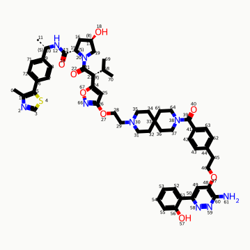 Cc1ncsc1-c1ccc([C@H](C)NC(=O)[C@@H]2C[C@@H](O)CN2C(=O)[C@@H](c2cc(OCCN3CCC4(CC3)CCN(C(=O)c3ccc(CCOc5cc(-c6ccccc6O)nnc5N)cc3)CC4)no2)C(C)C)cc1